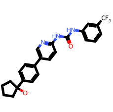 [O]C1(c2ccc(-c3ccc(NC(=O)Nc4cccc(C(F)(F)F)c4)nc3)cc2)CCCC1